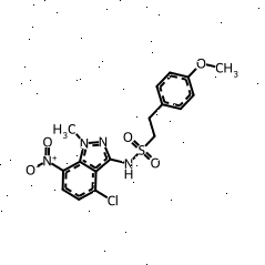 COc1ccc(CCS(=O)(=O)Nc2nn(C)c3c([N+](=O)[O-])ccc(Cl)c23)cc1